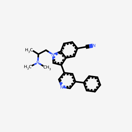 CC(Cn1cc(-c2cncc(-c3ccccc3)c2)c2cc(C#N)ccc21)N(C)C